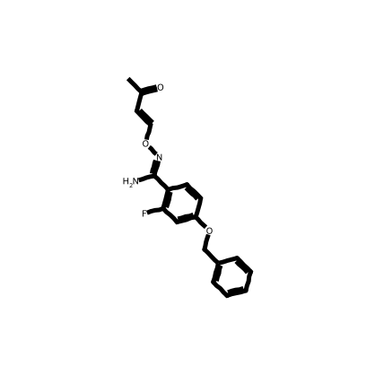 CC(=O)C=CO/N=C(\N)c1ccc(OCc2ccccc2)cc1F